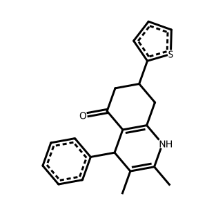 CC1=C(C)C(c2ccccc2)C2=C(CC(c3cccs3)CC2=O)N1